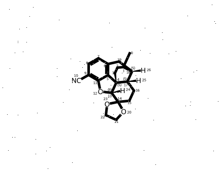 CC1CC[C@]23c4c5ccc(C#N)c4O[C@H]2C2(CC[C@H]3[C@H]1C5)OCCO2